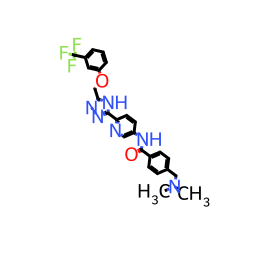 CN(C)Cc1ccc(C(=O)Nc2ccc(-c3nnc(COc4cccc(C(F)(F)F)c4)[nH]3)nc2)cc1